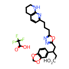 O=C(O)C(F)(F)F.O=C(O)CC(Cc1nnc(CCCc2ccc3c(n2)NCCC3)o1)c1ccc2c(c1)OCO2